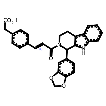 O=C(O)Cc1ccc(/C=C/C(=O)N2CCc3c([nH]c4ccccc34)C2c2ccc3c(c2)OCO3)cc1